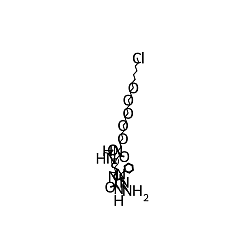 CC(=O)N[C@@H](CSc1nc2c(=O)[nH]c(N)nc2n1-c1ccccc1)C(=O)NCCOCCOCCOCCOCCOCCCCCCCl